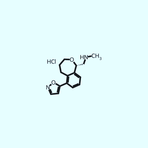 CNC[C@H]1OCCCc2c(-c3ccno3)cccc21.Cl